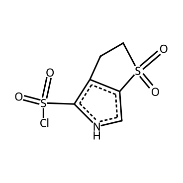 O=S(=O)(Cl)c1[nH]cc2c1CCS2(=O)=O